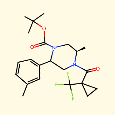 Cc1cccc(C2CN(C(=O)C3(C(F)(F)F)CC3)[C@H](C)CN2C(=O)OC(C)(C)C)c1